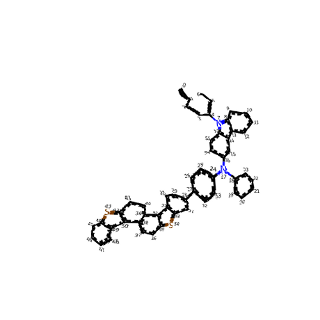 C=C/C=C\C(=C/C)n1c2ccccc2c2cc(N(c3ccccc3)c3ccc(-c4ccc5c(c4)sc4ccc6c(ccc7sc8ccccc8c76)c45)cc3)ccc21